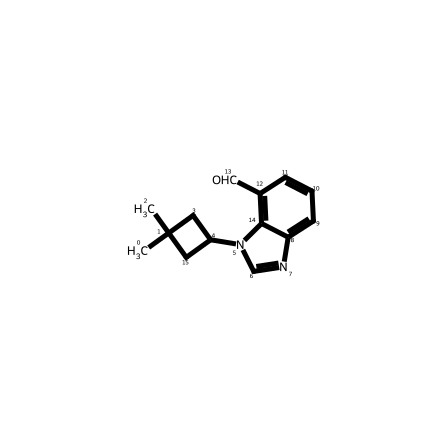 CC1(C)CC(n2cnc3cccc(C=O)c32)C1